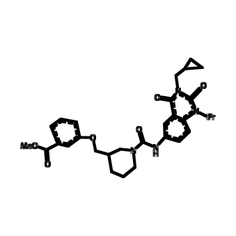 COC(=O)c1cccc(OCC2CCCN(C(=O)Nc3ccc4c(c3)c(=O)n(CC3CC3)c(=O)n4C(C)C)C2)c1